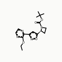 CCOc1nccnc1-c1cc([C@@H]2CCN2C(=O)OC(C)(C)C)on1